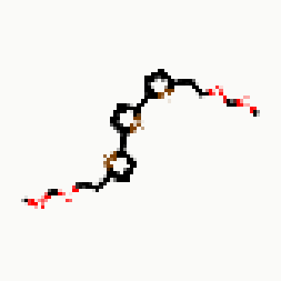 COCOCCc1ccc(-c2ccc(-c3ccc(CCOCOC)s3)s2)s1